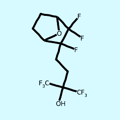 OC(CCC1(F)C2CCC(O2)C1(F)F)(C(F)(F)F)C(F)(F)F